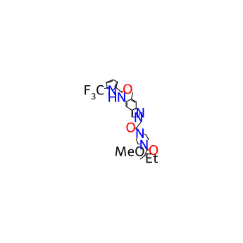 CCC(C)(OC)C(=O)N1CCN(C(=O)Cn2cc3cc(NC(=O)c4cccc(C(F)(F)F)n4)c(C)cc3n2)CC1